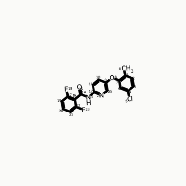 Cc1ccc(Cl)cc1Oc1ccc(NC(=O)c2c(F)cccc2F)nc1